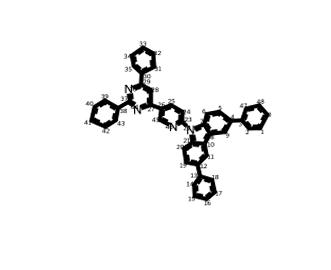 c1ccc(-c2ccc3c(c2)c2cc(-c4ccccc4)ccc2n3-c2ccc(-c3cc(-c4ccccc4)nc(-c4ccccc4)n3)cn2)cc1